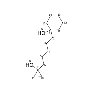 OC1(CCCCCC2(O)CC2)CCCCC1